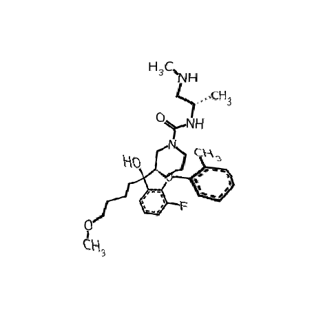 CNC[C@H](C)NC(=O)N1CCC[C@@H]([C@@](O)(CCCCOC)c2cccc(F)c2Oc2ccccc2C)C1